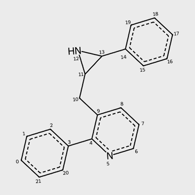 c1ccc(-c2ncccc2CC2NC2c2ccccc2)cc1